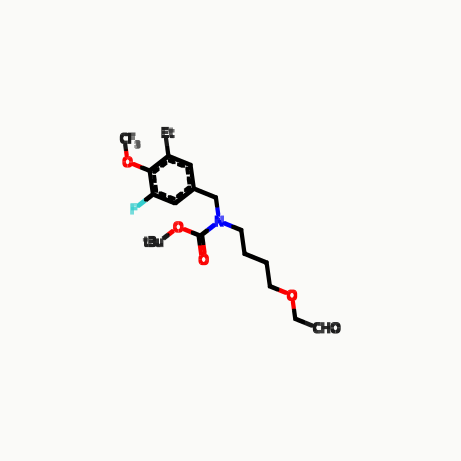 CCc1cc(CN(CCCCOCC=O)C(=O)OC(C)(C)C)cc(F)c1OC(F)(F)F